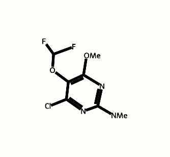 CNc1nc(Cl)c(OC(F)F)c(OC)n1